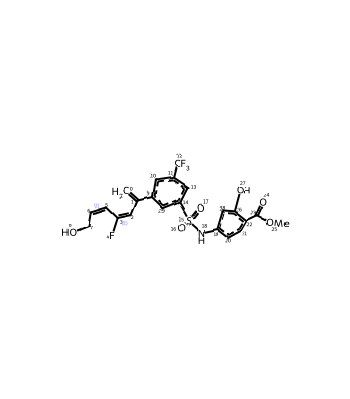 C=C(/C=C(F)\C=C/CO)c1cc(C(F)(F)F)cc(S(=O)(=O)Nc2ccc(C(=O)OC)c(O)c2)c1